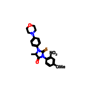 COc1ccc(N2C(=O)C(C)N(c3ccc(N4CCOCC4)cc3)C2=S)c([N+](=O)[O-])c1